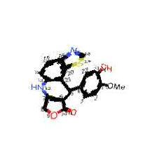 COc1ccc(C2C3=C(COC3=O)Nc3ccc4ncsc4c32)cc1O